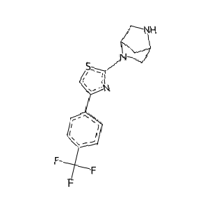 FC(F)(F)c1ccc(-c2csc(N3CC4CC3CN4)n2)cc1